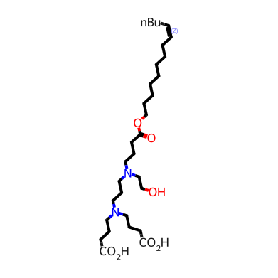 CCCC/C=C\CCCCCCCCOC(=O)CCCN(CCO)CCCN(CCCC(=O)O)CCCC(=O)O